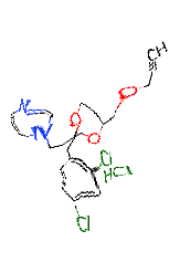 C#CCOCC1COC(Cn2ccnc2)(c2ccc(Cl)cc2Cl)O1.Cl